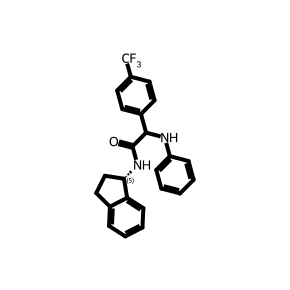 O=C(N[C@H]1CCc2ccccc21)C(Nc1ccccc1)c1ccc(C(F)(F)F)cc1